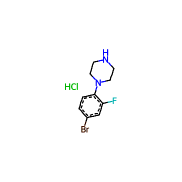 Cl.Fc1cc(Br)ccc1N1CCNCC1